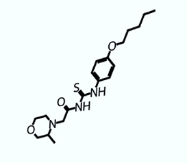 CCCCCOc1ccc(NC(=S)NC(=O)CN2CCOCC2C)cc1